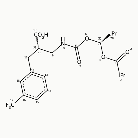 CC(C)C(=O)O[C@@H](OC(=O)NC[C@H](Cc1cccc(C(F)(F)F)c1)C(=O)O)C(C)C